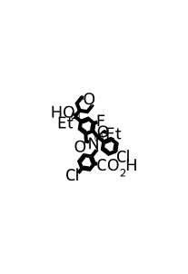 CCO[C@]1(c2ccc(Cl)cc2)c2c(F)cc([C@](O)(CC)C3CCOCC3)cc2C(=O)N1Cc1ccc(Cl)cc1C(=O)O